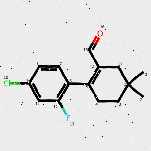 CC1(C)CCC(c2ccc(Cl)cc2F)=C(C=O)C1